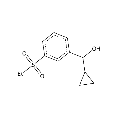 CCS(=O)(=O)c1cccc(C(O)C2CC2)c1